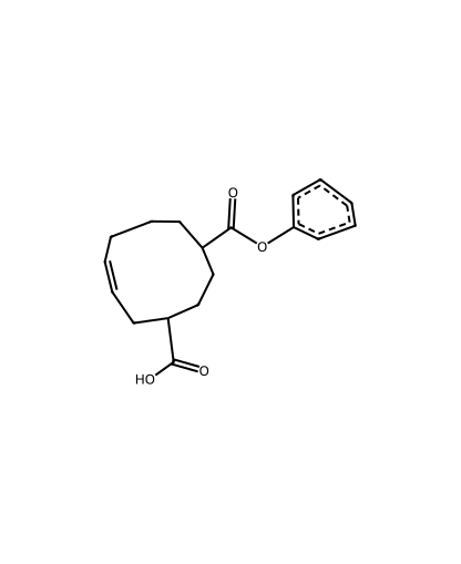 O=C(O)C1CC=CCCCC(C(=O)Oc2ccccc2)CC1